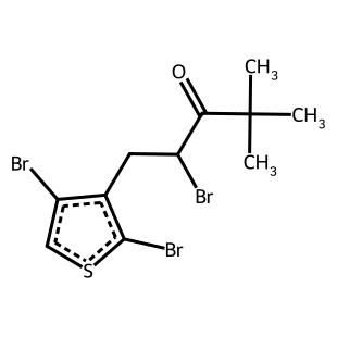 CC(C)(C)C(=O)C(Br)Cc1c(Br)csc1Br